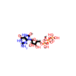 COP(=O)(OP(=O)(O)O)OP(=O)(O)OCC1OC(n2c(=O)[nH]c3c(=O)[nH]c(N)nc32)C(O)C1O